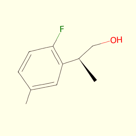 Cc1ccc(F)c([C@H](C)CO)c1